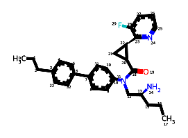 CCCc1ccc(-c2ccc(N(C[C@@H](N)CCC)C(=O)C3C[C@H]3c3ncccc3F)cc2)cc1